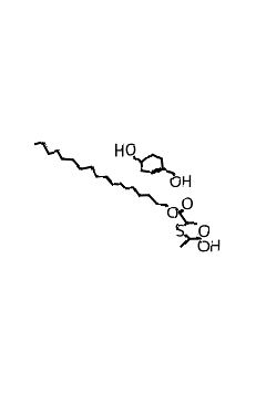 CCCCCCCCCCCCCCCCCCOC(=O)C(C)SC(C)C(=O)O.OCC1=CCC(CO)CC1